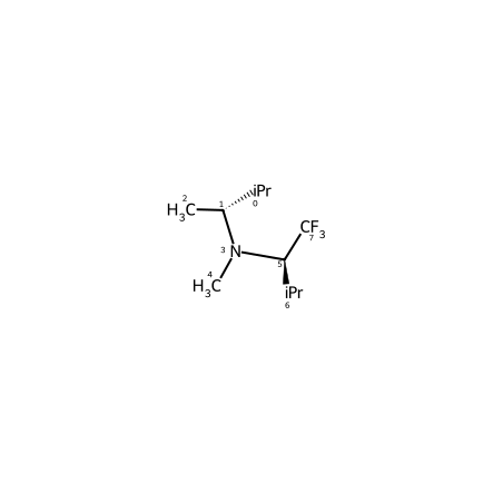 CC(C)[C@@H](C)N(C)[C@H](C(C)C)C(F)(F)F